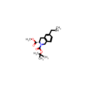 CBCc1ccc2c(c1)C[C@@H](C(=O)OC)N(C(=O)OC(C)(C)C)C2